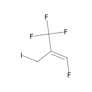 FC=C(CI)C(F)(F)F